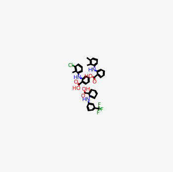 Cc1c(Cl)cccc1Nc1ccccc1C(=O)O.Cc1cccc(Nc2ccccc2C(=O)O)c1C.O=C(O)c1ccccc1Nc1cccc(C(F)(F)F)c1